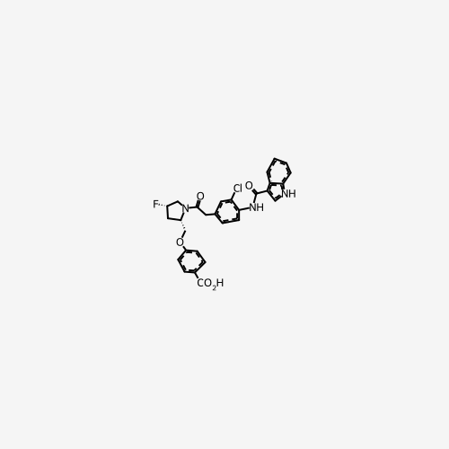 O=C(O)c1ccc(OC[C@@H]2C[C@H](F)CN2C(=O)Cc2ccc(NC(=O)c3c[nH]c4ccccc34)c(Cl)c2)cc1